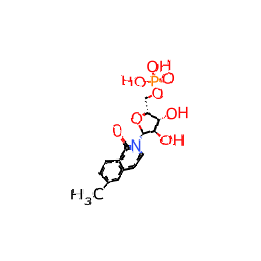 Cc1ccc2c(=O)n([C@@H]3O[C@H](COP(=O)(O)O)[C@H](O)[C@H]3O)ccc2c1